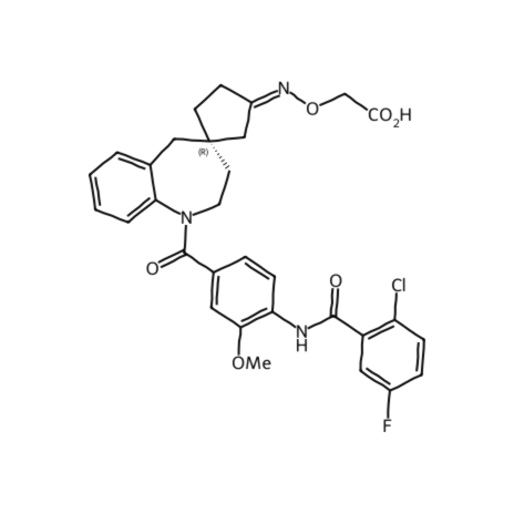 COc1cc(C(=O)N2CC[C@@]3(CCC(=NOCC(=O)O)C3)Cc3ccccc32)ccc1NC(=O)c1cc(F)ccc1Cl